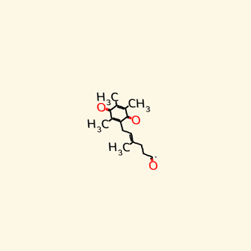 CC1=C(C)C(=O)C(C/C=C(\C)CC[C]=O)=C(C)C1=O